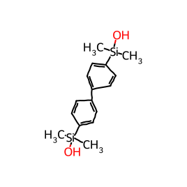 C[Si](C)(O)c1ccc(-c2ccc([Si](C)(C)O)cc2)cc1